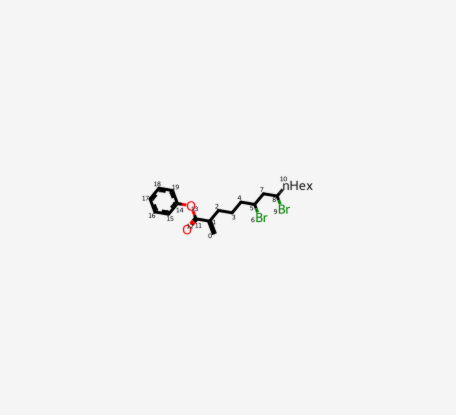 C=C(CCCC(Br)CC(Br)CCCCCC)C(=O)Oc1ccccc1